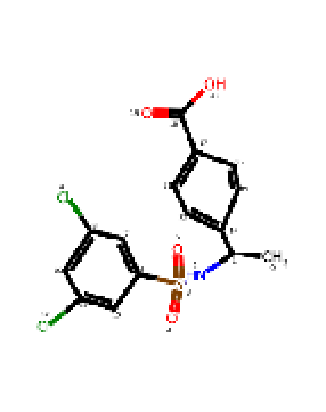 C[C@@H](NS(=O)(=O)c1cc(Cl)cc(Cl)c1)c1ccc(C(=O)O)cc1